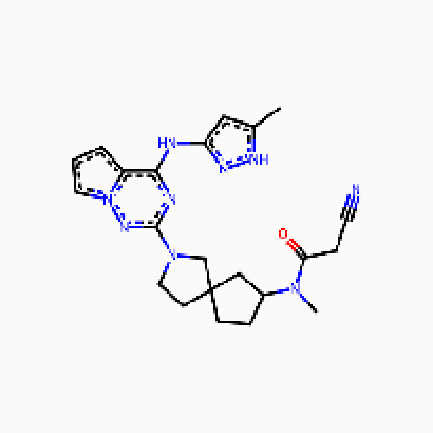 Cc1cc(Nc2nc(N3CCC4(CCC(N(C)C(=O)CC#N)C4)C3)nn3cccc23)n[nH]1